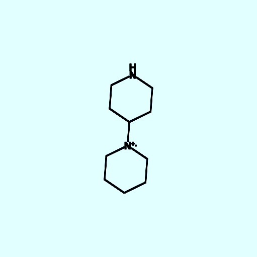 C1CC[N+](C2CCNCC2)CC1